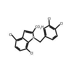 O=C(O)c1cc2c(Cl)ccc(Cl)c2n1Cc1ccc(Cl)c(Cl)c1